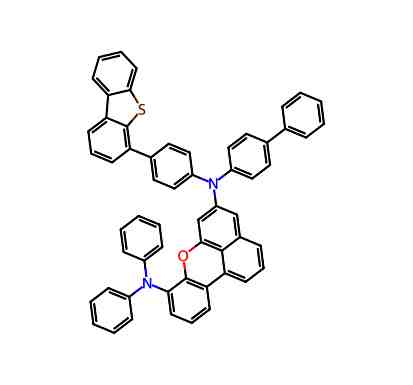 c1ccc(-c2ccc(N(c3ccc(-c4cccc5c4sc4ccccc45)cc3)c3cc4c5c(cccc5c3)-c3cccc(N(c5ccccc5)c5ccccc5)c3O4)cc2)cc1